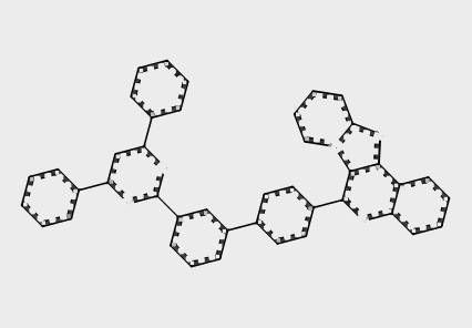 c1ccc(-c2cc(-c3ccccc3)nc(-c3cccc(-c4ccc(-c5nc6ccccc6c6nc7ccccn7c56)cc4)c3)n2)cc1